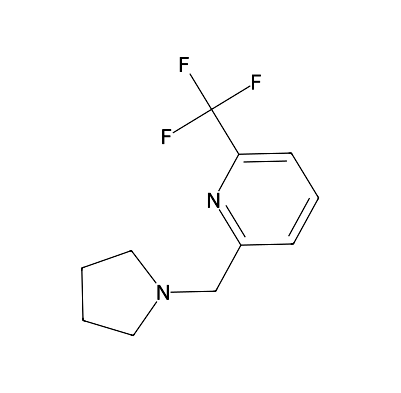 FC(F)(F)c1cccc(CN2CCCC2)n1